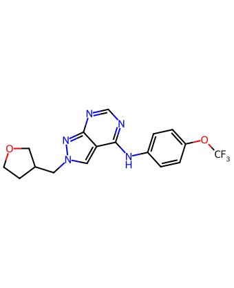 FC(F)(F)Oc1ccc(Nc2ncnc3nn(CC4CCOC4)cc23)cc1